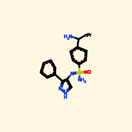 CCCC(N)c1ccc(S(N)(=O)=Nc2c[nH]nc2-c2ccccc2)cc1